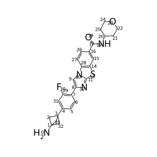 NC12CC(c3ccc(-c4cn5c(n4)sc4cc(C(=O)NC6CCOCC6)ccc45)c(F)c3)(C1)C2